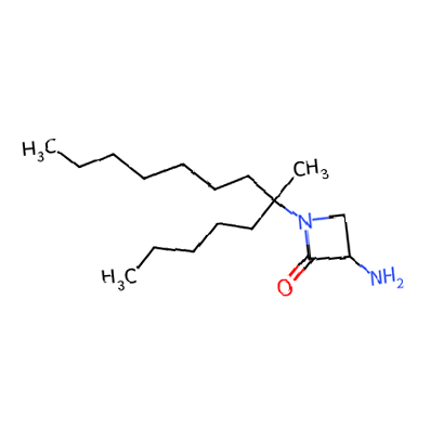 CCCCCCCC(C)(CCCCC)N1CC(N)C1=O